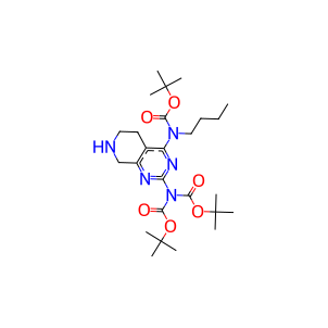 CCCCN(C(=O)OC(C)(C)C)c1nc(N(C(=O)OC(C)(C)C)C(=O)OC(C)(C)C)nc2c1CCNC2